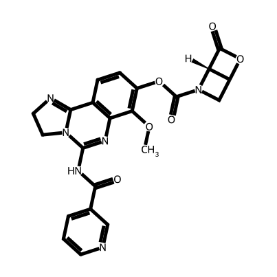 COc1c(OC(=O)N2CC3OC(=O)[C@H]32)ccc2c1N=C(NC(=O)c1cccnc1)N1CCN=C21